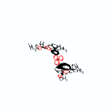 COCCOc1cc(OC(=O)Oc2ccc(C(C)(C)C)c(OCCOC)c2)ccc1C(C)(C)C